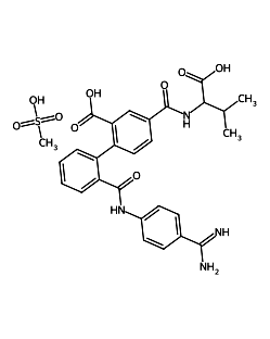 CC(C)C(NC(=O)c1ccc(-c2ccccc2C(=O)Nc2ccc(C(=N)N)cc2)c(C(=O)O)c1)C(=O)O.CS(=O)(=O)O